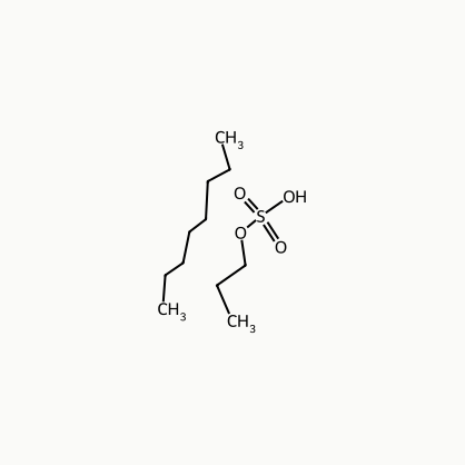 CCCCCCCC.CCCOS(=O)(=O)O